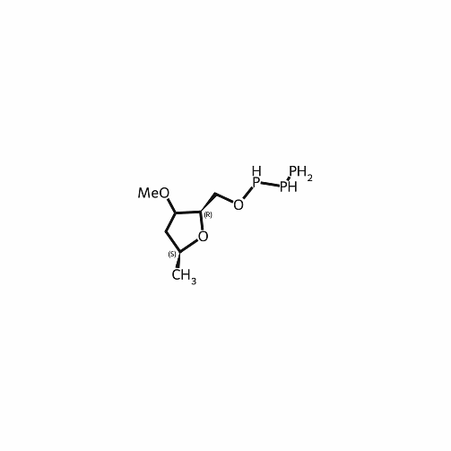 COC1C[C@H](C)O[C@@H]1COPPP